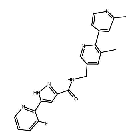 Cc1cc(-c2ncc(CNC(=O)c3cc(-c4ncccc4F)[nH]n3)cc2C)ccn1